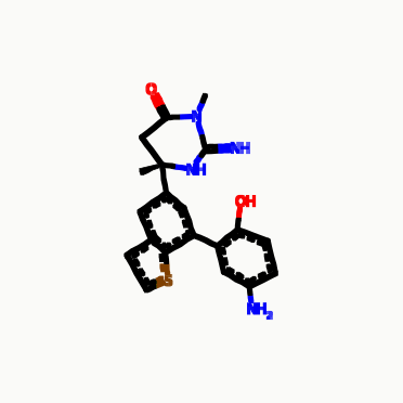 CN1C(=N)N[C@](C)(c2cc(-c3cc(N)ccc3O)c3sccc3c2)CC1=O